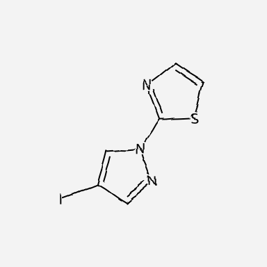 Ic1cnn(-c2nccs2)c1